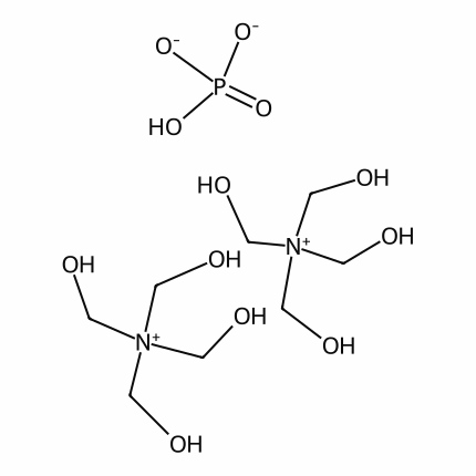 O=P([O-])([O-])O.OC[N+](CO)(CO)CO.OC[N+](CO)(CO)CO